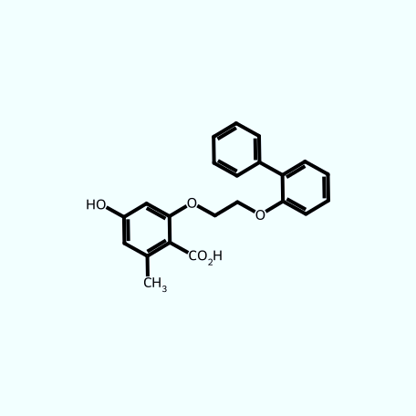 Cc1cc(O)cc(OCCOc2ccccc2-c2ccccc2)c1C(=O)O